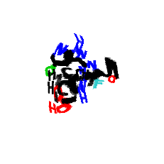 CC(C)(C)[C@@H](CC(=O)O)Nc1nc(-c2n[nH]c3ncc(Cl)cc23)nc(-c2ccco2)c1F